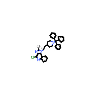 FC(F)(F)c1nc2c(Cl)nc3ccccc3c2n1CCC1CCN(C(c2ccccc2)(c2ccccc2)c2ccccc2)CC1